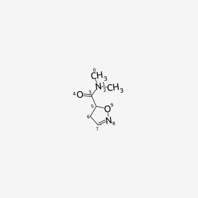 CN(C)C(=O)C1C[C]=NO1